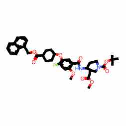 COC(=O)C1CN(C(=O)OC(C)(C)C)CCC1NC(=O)c1cc(OC2CCC(C(=O)OCc3cccc4ccccc34)CC2)c(F)cc1OC